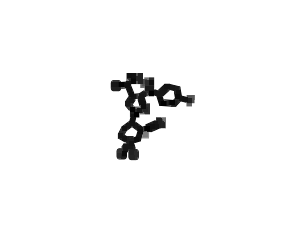 N#C[C@H]1CS(=O)(=O)CCC1n1cc(C(N)=O)c(Nc2ccc(F)cc2)n1